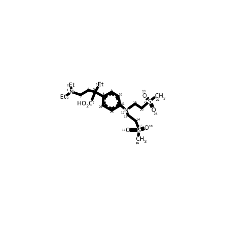 CCN(CC)CCC(CC)(C(=O)O)c1ccc(N(CCS(C)(=O)=O)CCS(C)(=O)=O)cc1